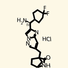 Cl.N[C@H](c1cn2ncc(CC34CCC(C3)NC4=O)cc2n1)C1CCC(F)(F)CC1